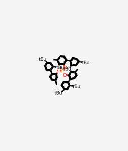 Cc1ccc(-c2ccc(C(C)(C)C)cc2C(C)(C)C)c(OP(Oc2cc(C)ccc2-c2ccc(C(C)(C)C)cc2C(C)(C)C)Oc2cc(C)ccc2-c2ccc(C(C)(C)C)cc2C(C)(C)C)c1